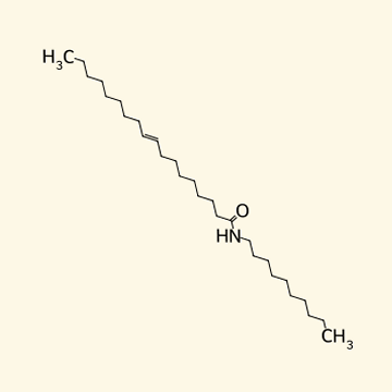 CCCCCCCCC=CCCCCCCCC(=O)NCCCCCCCCCC